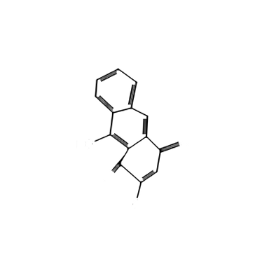 O=C1C=C(Cl)C(=O)c2c1cc1ccccc1c2O